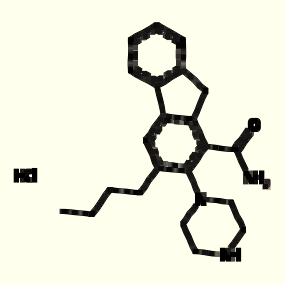 CCCCc1cc2c(c(C(N)=O)c1N1CCNCC1)Cc1ccccc1-2.Cl